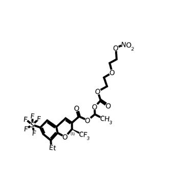 CCc1cc(S(F)(F)(F)(F)F)cc2c1O[C@H](C(F)(F)F)C(C(=O)OC(C)OC(=O)OCCOCCO[N+](=O)[O-])=C2